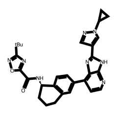 CC(C)(C)c1noc(C(=O)N[C@H]2CCCc3cc(-c4ccnc5[nH]c(-c6cnn(C7CC7)c6)nc45)ccc32)n1